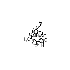 CC(C(=O)Nc1ccc(OCC2CC2)nn1)N1CCC(F)(F)C(c2c[nH]c(=O)c([C@@H](O)C(F)(F)F)c2)C1